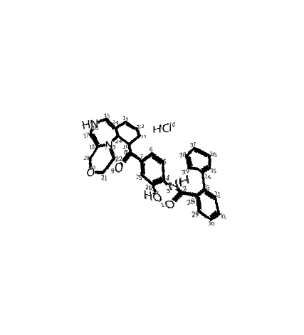 Cl.O=C(Nc1ccc(C(=O)C2CC=CC3=CNC=C4COCCN4C32)cc1O)c1ccccc1-c1ccccc1